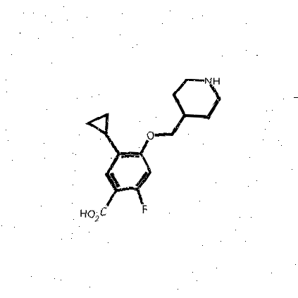 O=C(O)c1cc(C2CC2)c(OCC2CCNCC2)cc1F